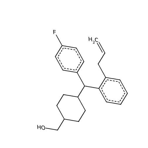 C=CCc1ccccc1C(c1ccc(F)cc1)C1CCC(CO)CC1